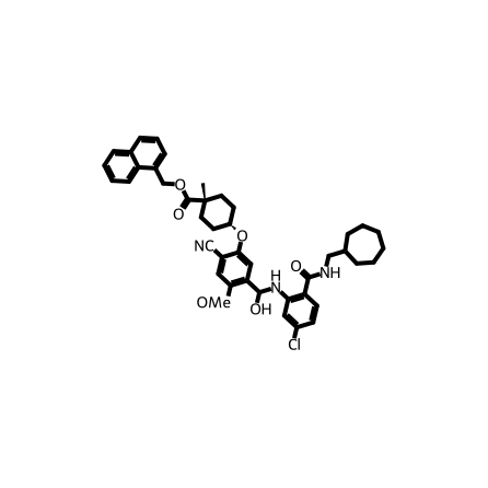 COc1cc(C#N)c(O[C@H]2CC[C@@](C)(C(=O)OCc3cccc4ccccc34)CC2)cc1C(O)Nc1cc(Cl)ccc1C(=O)NCC1CCCCCC1